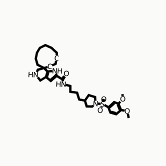 COc1ccc(S(=O)(=O)N2CCC(CCCCNC(=O)c3cc4c([nH]3)C3(CCCCCCCCCC3)CNC4)CC2)cc1OC